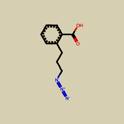 [N-]=[N+]=NCCCc1ccccc1C(=O)O